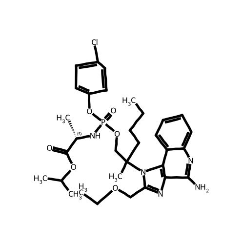 CCCCC(C)(COP(=O)(N[C@@H](C)C(=O)OC(C)C)Oc1ccc(Cl)cc1)n1c(COCC)nc2c(N)nc3ccccc3c21